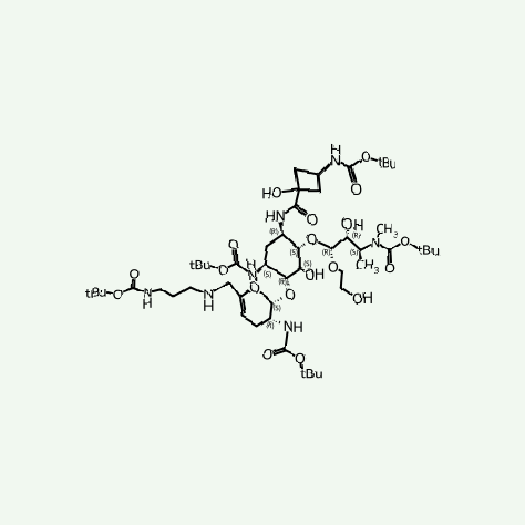 C[C@@H]([C@@H](O)[C@H](OCCO)O[C@@H]1[C@@H](O)[C@H](O[C@H]2OC(CNCCCNC(=O)OC(C)(C)C)=CC[C@H]2NC(=O)OC(C)(C)C)[C@@H](NC(=O)OC(C)(C)C)C[C@H]1NC(=O)C1(O)CC(NC(=O)OC(C)(C)C)C1)N(C)C(=O)OC(C)(C)C